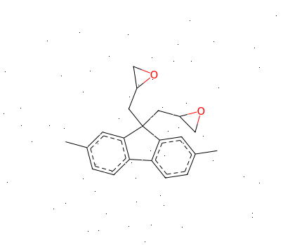 Cc1ccc2c(c1)C(CC1CO1)(CC1CO1)c1cc(C)ccc1-2